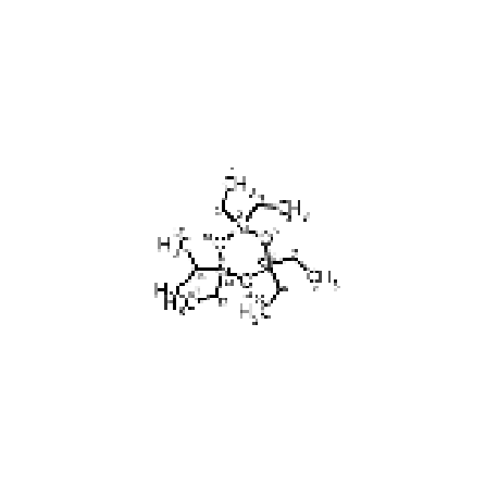 CC[Si]1(CC)O[Si](CC)(CC)O[Si](CC)(C(C)C)O1